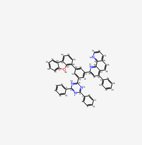 c1ccc(-c2nc(-c3ccccc3)nc(-c3cc(-c4cc(-c5ccccc5)c5ccc6cccnc6c5n4)cc(-c4cccc5c4oc4ccccc45)c3)n2)cc1